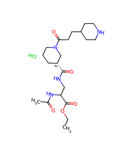 CCOC(=O)C(CNC(=O)[C@@H]1CCCN(C(=O)CCC2CCNCC2)C1)NC(C)=O.Cl